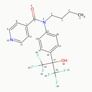 CCCCN(C(=O)c1ccncc1)c1ccc(C(O)(C(F)(F)F)C(F)(F)F)cc1